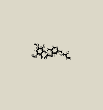 C=CC(=O)NCc1cc2c(cn1)CN(c1c(F)c(OC)cc(OC)c1F)C(=O)N2